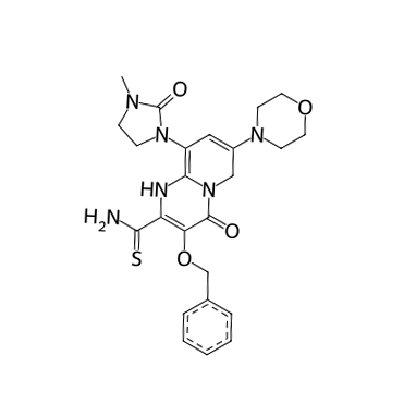 CN1CCN(C2=C3NC(C(N)=S)=C(OCc4ccccc4)C(=O)N3CC(N3CCOCC3)=C2)C1=O